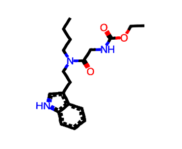 CCCCN(CCc1c[nH]c2ccccc12)C(=O)CNC(=O)OCC